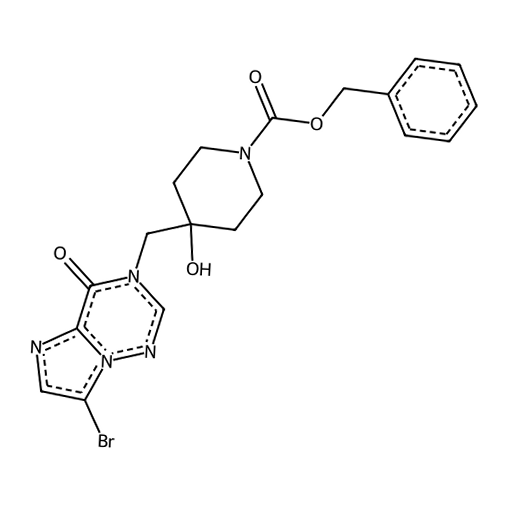 O=C(OCc1ccccc1)N1CCC(O)(Cn2cnn3c(Br)cnc3c2=O)CC1